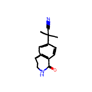 CC(C)(C#N)c1ccc2c(c1)CCNC2=O